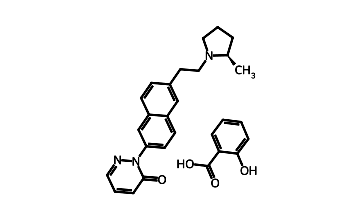 C[C@@H]1CCCN1CCc1ccc2cc(-n3ncccc3=O)ccc2c1.O=C(O)c1ccccc1O